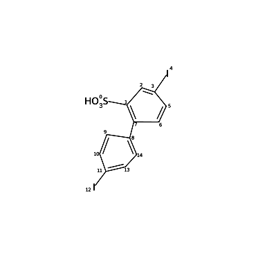 O=S(=O)(O)c1cc(I)ccc1-c1ccc(I)cc1